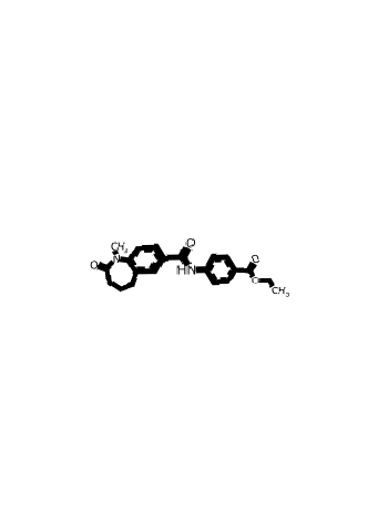 CCOC(=O)c1ccc(NC(=O)c2ccc3c(c2)CCCC(=O)N3C)cc1